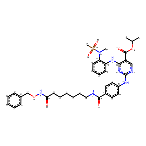 CC(C)OC(=O)c1cnc(Nc2ccc(C(=O)NCCCCCCC(=O)NOCc3ccccc3)cc2)nc1Nc1ccccc1N(C)S(C)(=O)=O